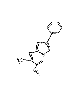 Cc1cc2cc(-c3ccccc3)cn2cc1[N+](=O)[O-]